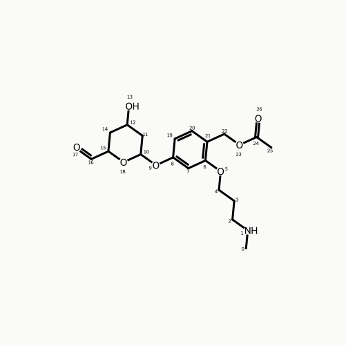 CNCCCOc1cc(OC2CC(O)CC(C=O)O2)ccc1COC(C)=O